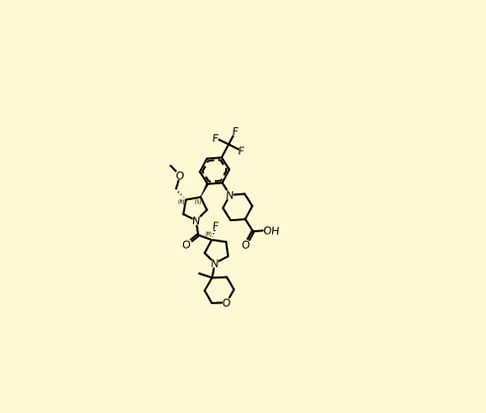 COC[C@H]1CN(C(=O)[C@@]2(F)CCN(C3(C)CCOCC3)C2)C[C@@H]1c1ccc(C(F)(F)F)cc1N1CCC(C(=O)O)CC1